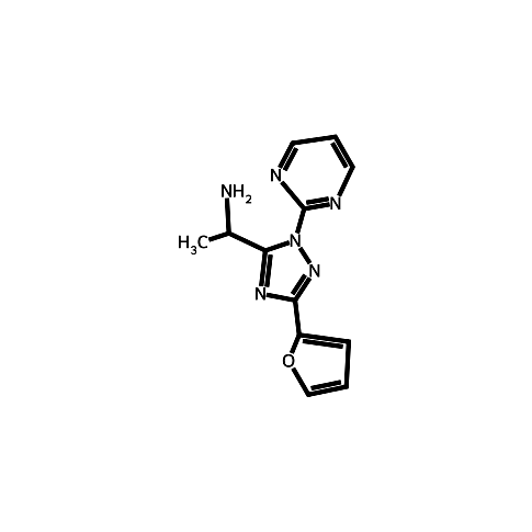 CC(N)c1nc(-c2ccco2)nn1-c1ncccn1